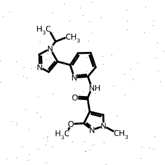 COc1nn(C)cc1C(=O)Nc1cccc(-c2cncn2C(C)C)n1